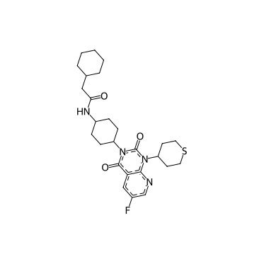 O=C(CC1CCCCC1)NC1CCC(n2c(=O)c3cc(F)cnc3n(C3CCSCC3)c2=O)CC1